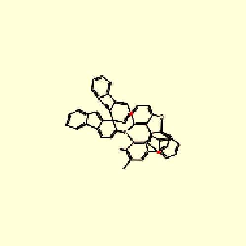 Cc1cc2c(c(N(C3=CC=C4C(=Cc5ccccc54)C34C=CC=C3C4=Cc4ccccc43)c3cccc4oc5ccccc5c34)c1C)Cc1ccccc1-2